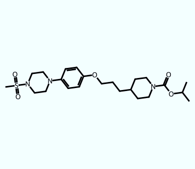 CC(C)OC(=O)N1CCC(CCCOc2ccc(N3CCN(S(C)(=O)=O)CC3)cc2)CC1